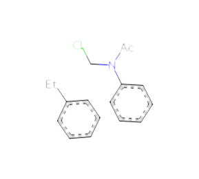 CC(=O)N(CCl)c1ccccc1.CCc1ccccc1